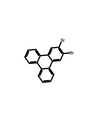 Brc1cc2c3ccccc3c3ccccc3c2cc1Br